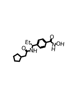 CC[C@H](NC(=O)CC1CCCC1)c1ccc(C(=O)NO)cc1